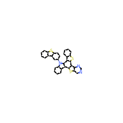 c1ccc2c(c1)sc1ccc(-n3c4ccccc4c4c5sc6cncnc6c5c5sc6ccccc6c5c43)cc12